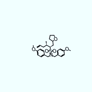 C=CC[C@@H](C)[C@@H](CC1CCCO1)S(=O)(=O)N(Cc1ccc(OC)cc1)Cc1ccc(OC)cc1